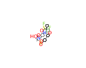 COc1ccc(-c2ccc(CS(C)(=O)=O)cc2)cc1CN(C(=O)c1sc2c(F)ccc(F)c2c1Cl)C1CCC(CN(C(=O)O)C(C)(C)C)CC1